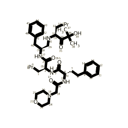 CC(C)C[C@H](NC(=O)[C@H](CCc1ccccc1)NC(=O)CN1CCOCC1)C(=O)N[C@H](CN[C@@H](CC(C)C)C(=O)C(C)(C)O)Cc1ccccc1